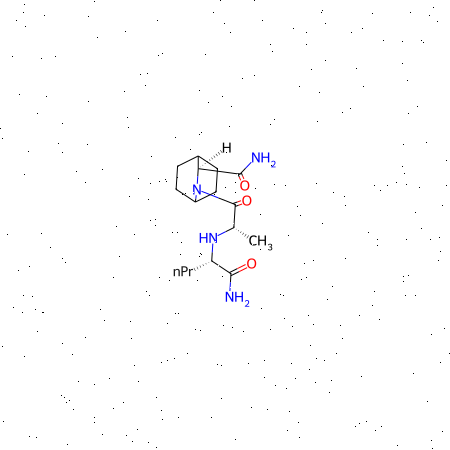 CCC[C@H](N[C@@H](C)C(=O)N1C2CCC(CC2)[C@H]1C(N)=O)C(N)=O